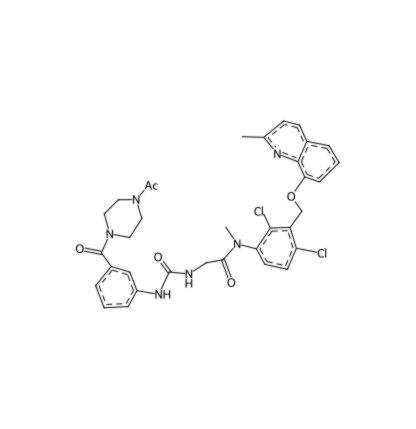 CC(=O)N1CCN(C(=O)c2cccc(NC(=O)NCC(=O)N(C)c3ccc(Cl)c(COc4cccc5ccc(C)nc45)c3Cl)c2)CC1